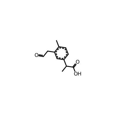 Cc1ccc(C(C)C(=O)O)cc1CC=O